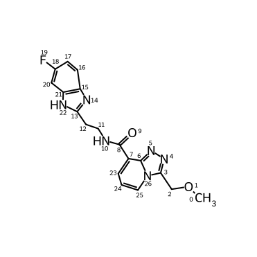 COCc1nnc2c(C(=O)NCCc3nc4ccc(F)cc4[nH]3)cccn12